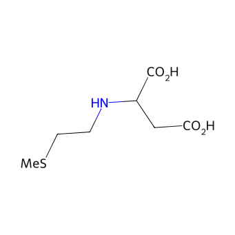 CSCCNC(CC(=O)O)C(=O)O